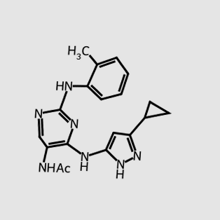 CC(=O)Nc1cnc(Nc2ccccc2C)nc1Nc1cc(C2CC2)n[nH]1